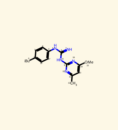 CCC(C)c1ccc(NC(=N)Nc2nc(C)cc(OC)n2)cc1